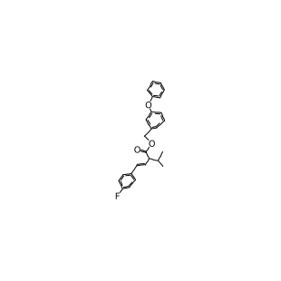 CC(C)C(C=Cc1ccc(F)cc1)C(=O)OCc1cccc(Oc2ccccc2)c1